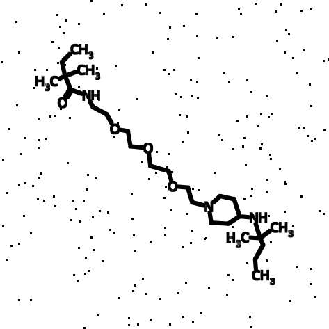 CCCC(C)(C)NC1CCN(CCOCCOCCOCCNC(=O)C(C)(C)CC)CC1